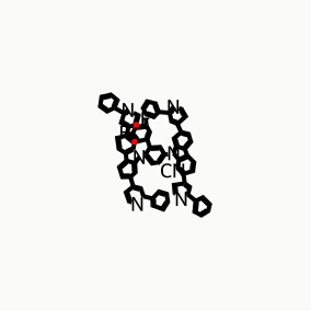 N#Cc1cc(-n2c3cc(-c4ccnc(-c5ccccc5)c4)ccc3c3ccc(-c4ccnc(-c5ccccc5)c4)cc32)c(-c2cc(F)cc(F)c2)cc1-n1c2cc(-c3ccnc(-c4ccccc4)c3)ccc2c2ccc(-c3ccnc(-c4ccccc4)c3)cc21